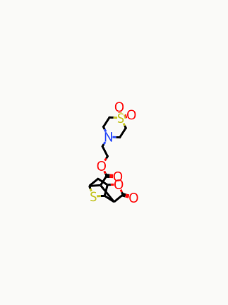 O=C(OCCN1CCS(=O)(=O)CC1)C1C2CC3OC(=O)C1C3S2